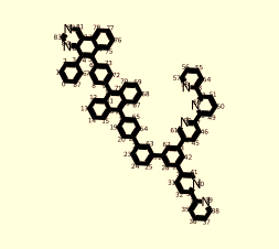 c1ccc(-c2c(-c3ccc(-c4c5ccccc5c(-c5ccc(-c6cccc(-c7cc(-c8ccc(-c9ccccn9)nc8)cc(-c8ccc(-c9cccc(-c%10ccccn%10)n9)nc8)c7)c6)cc5)c5ccccc45)cc3)c3ccccc3c3cncnc23)cc1